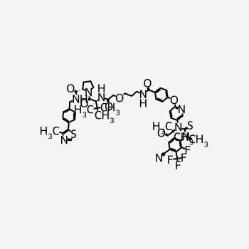 Cc1ncsc1-c1ccc(CNC(=O)[C@@H]2CCCN2C(=O)[C@@H](NC(=O)COCCCNC(=O)c2ccc(Oc3ccc(N(C(=S)N(C)c4ccc(C#N)c(C(F)(F)F)c4F)C(C)(C)C=O)cn3)cc2)C(C)(C)C)cc1